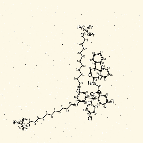 CC(C)[Si](OCCCCCCCCCCCOc1cc(OCCCCCCCCCCCO[Si](C(C)C)(C(C)C)C(C)C)cc(C(OC(=O)CNC(=O)OCC2c3ccccc3-c3ccccc32)(c2ccc(Cl)cc2)c2ccc(Cl)cc2)c1)(C(C)C)C(C)C